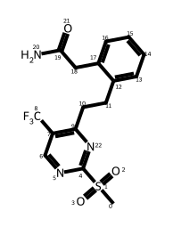 CS(=O)(=O)c1ncc(C(F)(F)F)c(CCc2ccccc2CC(N)=O)n1